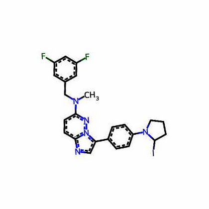 CN(Cc1cc(F)cc(F)c1)c1ccc2ncc(-c3ccc(N4CCCC4I)cc3)n2n1